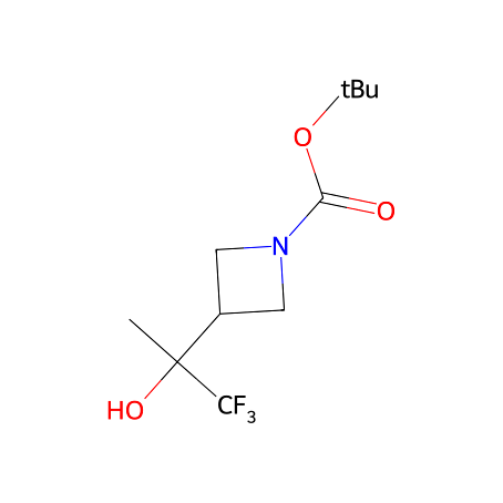 CC(C)(C)OC(=O)N1CC(C(C)(O)C(F)(F)F)C1